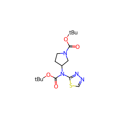 CC(C)(C)OC(=O)N1CCC(N(C(=O)OC(C)(C)C)c2nncs2)C1